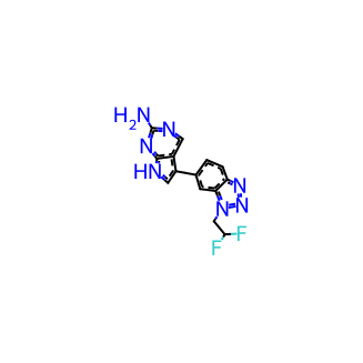 Nc1ncc2c(-c3ccc4nnn(CC(F)F)c4c3)c[nH]c2n1